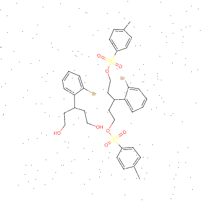 Cc1ccc(S(=O)(=O)OCCC(CCOS(=O)(=O)c2ccc(C)cc2)c2ccccc2Br)cc1.OCCC(CCO)c1ccccc1Br